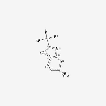 Nc1ccc2oc(C(F)(F)F)nc2c1